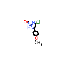 CCOc1ccc(-c2cc(Cl)nc(NC=O)n2)cc1